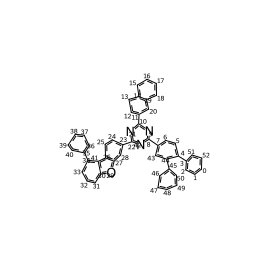 c1ccc(-c2ccc(-c3nc(-c4ccc5ccccc5c4)nc(-c4ccc5c(c4)oc4cccc(-c6ccccc6)c45)n3)cc2-c2ccccc2)cc1